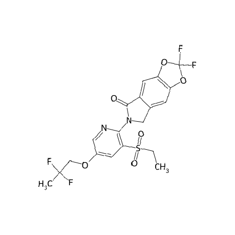 CCS(=O)(=O)c1cc(OCC(C)(F)F)cnc1N1Cc2cc3c(cc2C1=O)OC(F)(F)O3